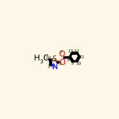 Cc1cnc(OC(=O)c2ccccc2)s1